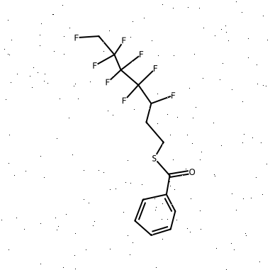 O=C(SCCC(F)C(F)(F)C(F)(F)C(F)(F)CF)c1ccccc1